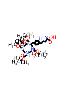 CC(C)(C)OC(=O)CN1CCN(CC(=O)OC(C)(C)C)CCN(CC(=O)OC(C)(C)C)C(Cc2ccc(/C=C/CC(N)C(=O)O)cc2)CN(CC(=O)OC(C)(C)C)CC1